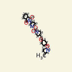 Cc1ccc(Oc2ccc(OCC3CCN(C(=O)Oc4ccc(N5C(=O)C6CCCCC6C5=O)cn4)CC3)cc2)nc1